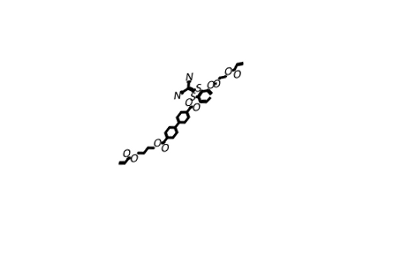 C=CC(=O)OCCCCOC(=O)C1CCC(C2CCC(C(=O)O/C(=C/C)C3=C(C(=C)OOCCOC(=O)C=C)SC(=C(C#N)C#N)S3)CC2)CC1